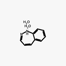 C1=Cc2ccccc2NN=C1.O.O